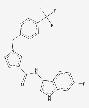 O=C(Nc1c[nH]c2cc(F)ccc12)c1cnn(Cc2ccc(C(F)(F)F)cc2)c1